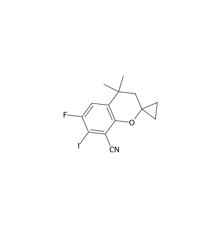 CC1(C)CC2(CC2)Oc2c1cc(F)c(I)c2C#N